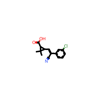 CC1(C)C(C=C(C#N)c2cccc(Cl)c2)C1C(=O)O